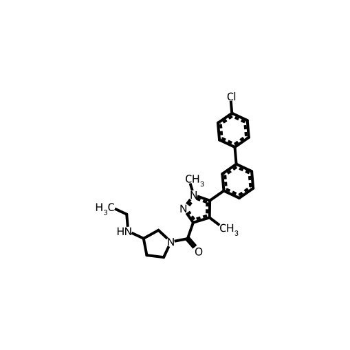 CCNC1CCN(C(=O)c2nn(C)c(-c3cccc(-c4ccc(Cl)cc4)c3)c2C)C1